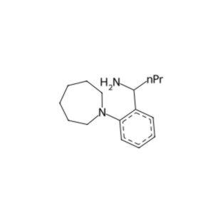 CCCC(N)c1ccccc1N1CCCCCC1